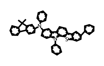 CC1(C)c2ccccc2-c2ccc(N(c3ccccc3)c3ccc4c(c3)c3ccc5c6cc(-c7ccccc7)ccc6sc5c3n4-c3ccccc3)cc21